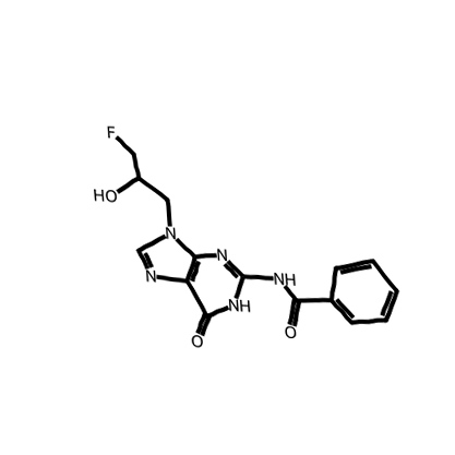 O=C(Nc1nc2c(ncn2CC(O)CF)c(=O)[nH]1)c1ccccc1